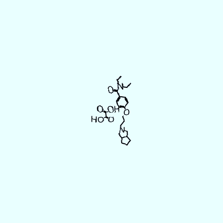 CCN(CC)C(=O)c1ccc(OCCCN2CC3CCCC3C2)cc1.O=C(O)C(=O)O